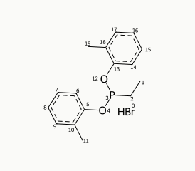 Br.CCP(Oc1ccccc1C)Oc1ccccc1C